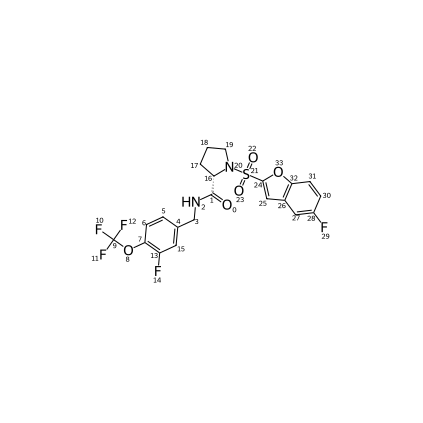 O=C(NCc1ccc(OC(F)(F)F)c(F)c1)[C@@H]1CCCN1S(=O)(=O)c1cc2cc(F)ccc2o1